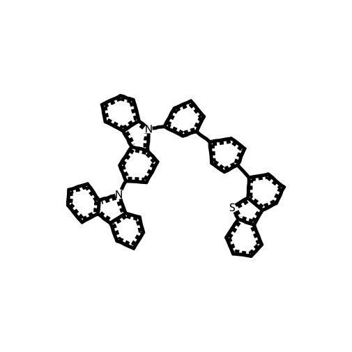 c1cc(-c2ccc(-c3cccc4c3sc3ccccc34)cc2)cc(-n2c3ccccc3c3cc(-n4c5ccccc5c5ccccc54)ccc32)c1